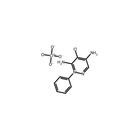 Nc1cn[n+](-c2ccccc2)c(N)c1Cl.[O-][Cl+3]([O-])([O-])[O-]